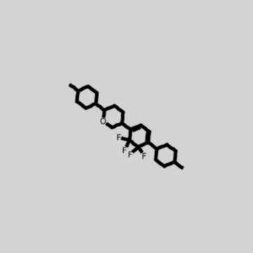 CC1CCC(C2=CC=C(C3CCC(C4CCC(C)CC4)OC3)C(F)(F)C2(F)F)CC1